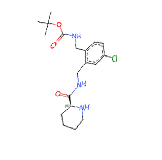 CC(C)(C)OC(=O)NCc1ccc(Cl)cc1CNC(=O)[C@@H]1CCCCN1